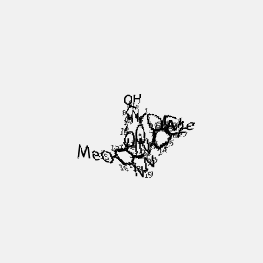 COCC(=O)N1C[C@@H](O)C[C@@H]1COc1cc(OC)cc2ncnc(Nc3ccc(F)c(Cl)c3)c12